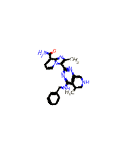 Cc1nc2c(C(N)=O)cccn2c1-c1nc2c(c(NCc3ccccc3)n1)C(C)CNC2